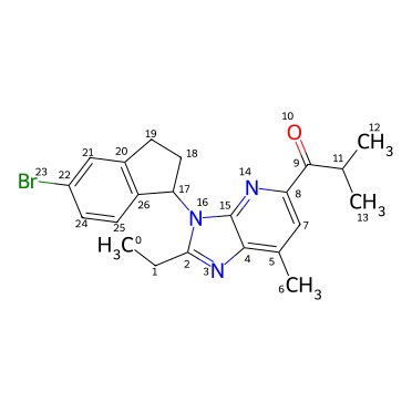 CCc1nc2c(C)cc(C(=O)C(C)C)nc2n1C1CCc2cc(Br)ccc21